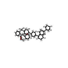 CC1(C)c2ccccc2C2(c3ccccc3Sc3ccccc32)c2cc(-c3ccc(-c4cccc5nc(-c6ccccc6)ncc45)cc3)ccc21